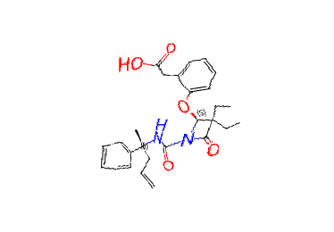 C=CC[C@@](C)(NC(=O)N1C(=O)C(CC)(CC)[C@@H]1Oc1ccccc1CC(=O)O)c1ccccc1